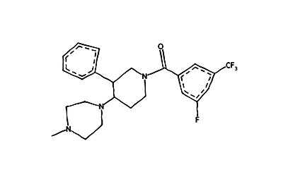 CN1CCN(C2CCN(C(=O)c3cc(F)cc(C(F)(F)F)c3)CC2c2ccccc2)CC1